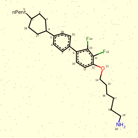 CCCCCC1CCC(c2ccc(-c3ccc(OCCCCCCN)c(F)c3F)cc2)CC1